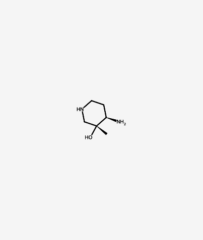 C[C@@]1(O)CNCC[C@H]1N